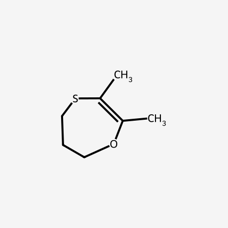 CC1=C(C)SCCCO1